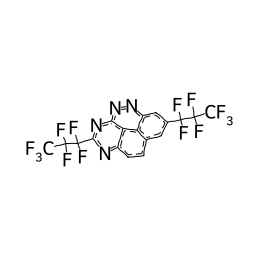 FC(F)(F)C(F)(F)C(F)(F)c1cc2ccc3nc(C(F)(F)C(F)(F)C(F)(F)F)nc4nnc(c1)c2c34